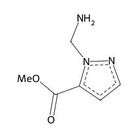 COC(=O)c1ccnn1CN